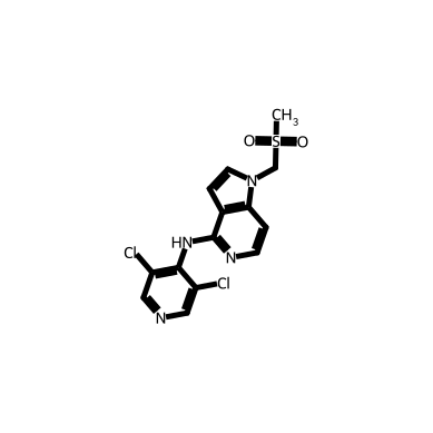 CS(=O)(=O)Cn1ccc2c(Nc3c(Cl)cncc3Cl)nccc21